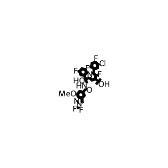 COc1cc(C(=O)NC[C@@](O)(c2cccc(F)c2)c2cc(C(C)(C)O)c(F)c(-c3cc(Cl)c(F)cc3F)n2)cc2cn(C(F)F)nc12